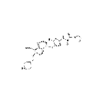 COc1c(OCC2CCNCC2)ccc2c(Oc3ccc(NC(=O)C(=O)N4CCCC4)cc3F)ccnc12